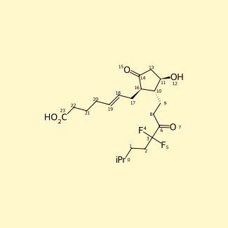 CC(C)CCC(F)(F)C(=O)CC[C@H]1[C@H](O)CC(=O)[C@@H]1CC=CCCCC(=O)O